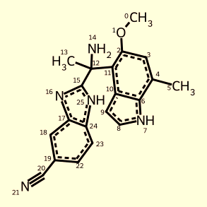 COc1cc(C)c2[nH]ccc2c1C(C)(N)c1nc2cc(C#N)ccc2[nH]1